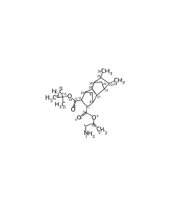 C=C(CN)OC(=O)C1C2CC(C1C(=O)OC(C)(C)C)C1C3CC(C(C)C3C)C21